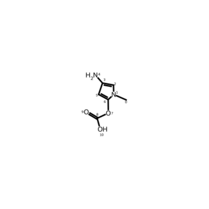 Cn1cc(N)cc1OC(=O)O